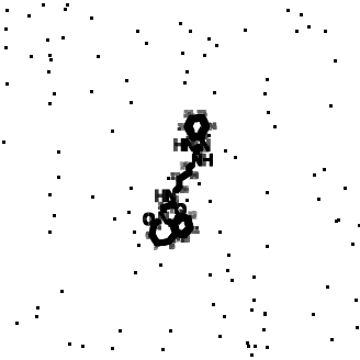 O=C(CN1C(=O)CC[CH]c2ccccc21)NCCCCNc1nc2ccccc2[nH]1